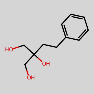 OCC(O)(CO)CCc1ccccc1